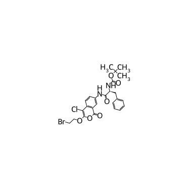 CC(C)(C)OC(=O)N[C@@H](Cc1ccccc1)C(=O)Nc1ccc2c(Cl)c(OCCBr)oc(=O)c2c1